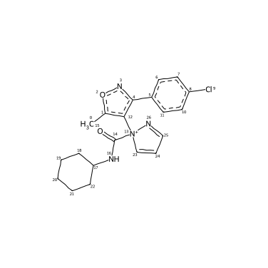 Cc1onc(-c2ccc(Cl)cc2)c1[N+]1(C(=O)NC2CCCCC2)C=CC=N1